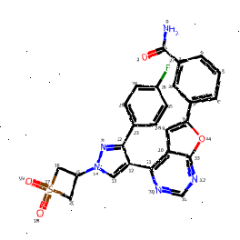 NC(=O)c1cccc(-c2cc3c(-c4cn(C5CS(=O)(=O)C5)nc4-c4ccc(F)cc4)ncnc3o2)c1